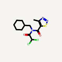 Cc1nnsc1C(=O)N(CC1CCCCC1)C(=O)C(Cl)Cl